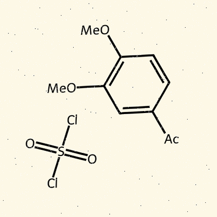 COc1ccc(C(C)=O)cc1OC.O=S(=O)(Cl)Cl